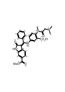 CCOC(=O)c1cc(NC(=C2C(=O)Nc3cc(C(=O)OC)ccc32)c2ccccc2)ccc1N(C)C(=O)CN(C)C